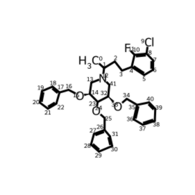 CC(CCc1cccc(Cl)c1F)N1C[C@H](OCc2ccccc2)C(OCc2ccccc2)[C@H](OCc2ccccc2)C1